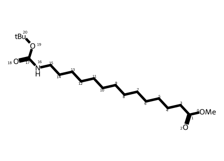 COC(=O)CCCCCCCCCCCCCNC(=O)OC(C)(C)C